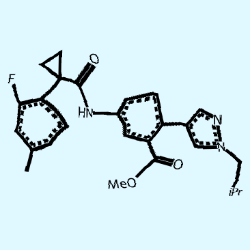 COC(=O)c1cc(NC(=O)C2(c3ccc(C)cc3F)CC2)ccc1-c1cnn(CC(C)C)c1